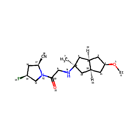 CCO[C@@H]1C[C@@H]2C[C@](C)(NCC(=O)N3C[C@@H](F)C[C@H]3C#N)C[C@@H]2C1